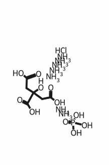 Cl.N.N.N.N.N.N.N.O=C(O)CC(O)(CC(=O)O)C(=O)O.O=P(O)(O)O